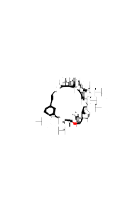 CC1NC(=O)[C@H](C(C)C)NC(=O)[C@H](C)[C@H](O)CC/C=C/c2cccc(c2)C(C)NC(=O)[C@@H]2CCCN(N2)C1=O